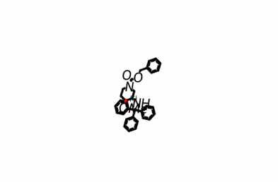 CO[C@@H]1CCN(C(=O)OCc2ccccc2)C[C@@H]1NC(c1ccccc1)(c1ccccc1)c1ccccc1